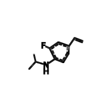 C=Cc1ccc(NC(C)C)c(F)c1